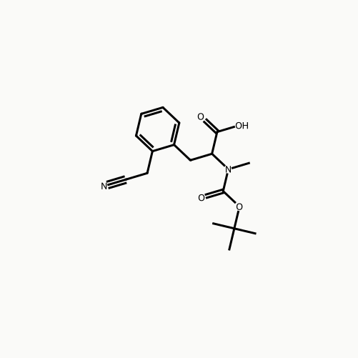 CN(C(=O)OC(C)(C)C)C(Cc1ccccc1CC#N)C(=O)O